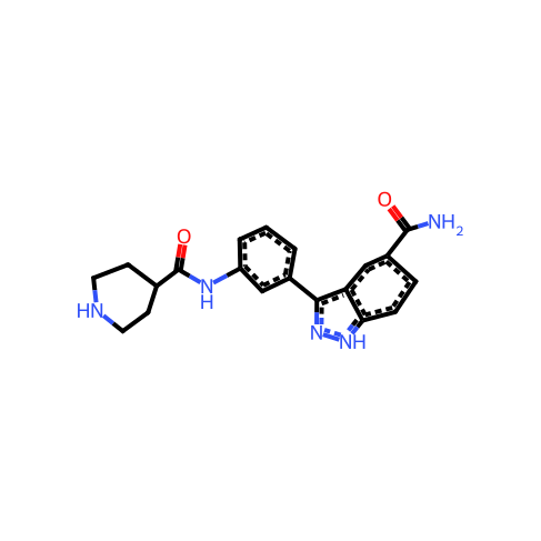 NC(=O)c1ccc2[nH]nc(-c3cccc(NC(=O)C4CCNCC4)c3)c2c1